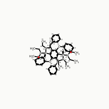 CCN(CC)P(=S)(c1c(Oc2ccccc2)c(Oc2ccccc2)c(P(=S)(N(CC)CC)N(CC)CC)c(Oc2ccccc2)c1Oc1ccccc1)N(CC)CC